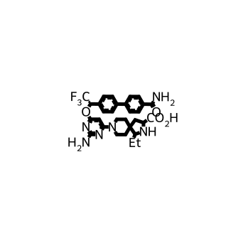 CCC1NC(C(=O)O)CC12CCN(c1cc(O[C@H](c3ccc(-c4ccc(C(N)=O)cc4)cc3)C(F)(F)F)nc(N)n1)CC2